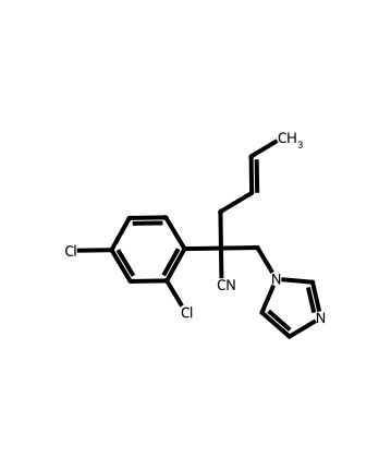 CC=CCC(C#N)(Cn1ccnc1)c1ccc(Cl)cc1Cl